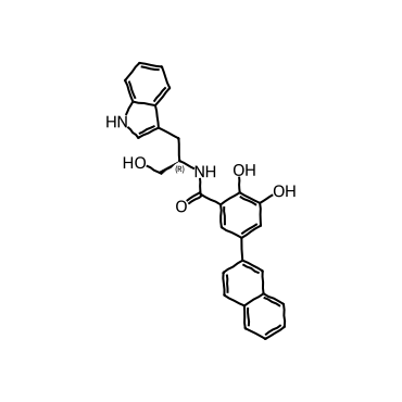 O=C(N[C@@H](CO)Cc1c[nH]c2ccccc12)c1cc(-c2ccc3ccccc3c2)cc(O)c1O